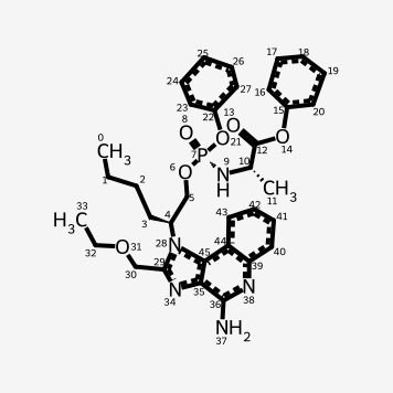 CCCC[C@@H](CO[P@](=O)(N[C@@H](C)C(=O)Oc1ccccc1)Oc1ccccc1)n1c(COCC)nc2c(N)nc3ccccc3c21